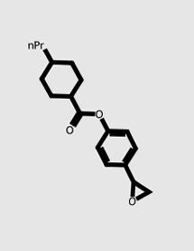 CCCC1CCC(C(=O)Oc2ccc(C3CO3)cc2)CC1